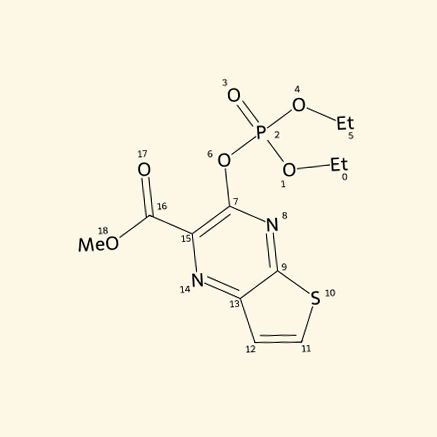 CCOP(=O)(OCC)Oc1nc2sccc2nc1C(=O)OC